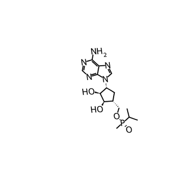 CC(C)P(C)(=O)OC[C@H]1C[C@@H](n2cnc3c(N)ncnc32)[C@H](O)[C@@H]1O